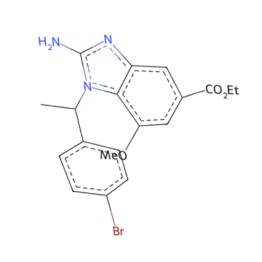 CCOC(=O)c1cc(OC)c2c(c1)nc(N)n2C(C)c1ccc(Br)cc1